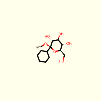 CCCO[C@]1(C2CCCCC2)O[C@H](CO)[C@@H](O)[C@H](O)[C@H]1O